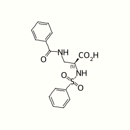 O=C(NC[C@H](NS(=O)(=O)c1ccccc1)C(=O)O)c1ccccc1